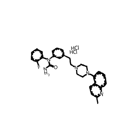 Cc1ccc2c(N3CCN(CCc4cccc(N(C(N)=O)c5ccccc5F)c4)CC3)cccc2n1.Cl.Cl